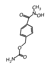 CN(O)C(=O)c1ccc(COC(N)=O)cc1